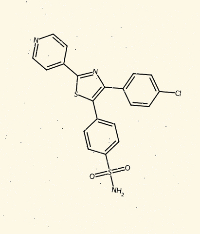 NS(=O)(=O)c1ccc(-c2sc(-c3ccncc3)nc2-c2ccc(Cl)cc2)cc1